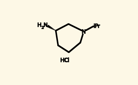 CC(C)N1CCC[C@H](N)C1.Cl